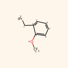 C[C](C)Cc1ccccc1OC(F)(F)F